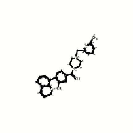 C=C(c1ccc(-c2cccc3cccnc23)c(C)c1)N1CCN(Cc2cccc(C)c2)CC1